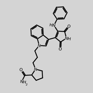 NC(=O)C1CCCN1CCCn1cc(C2=C(Nc3ccccc3)C(=O)NC2=O)c2ccccc21